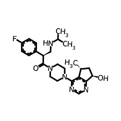 CC(C)NC[C@@H](C(=O)N1CCN(c2ncnc3c2[C@H](C)C[C@H]3O)CC1)c1ccc(F)cc1